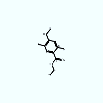 CCOC(=O)c1cc(C)c(CC)cc1C